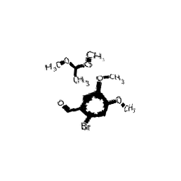 COC(C)OC.COc1cc(Br)c(C=O)cc1OC